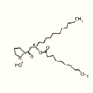 CCCCCCCCCCC[C@H](CC(=O)N1CCC[C@H]1CO)OC(=O)CCCCCCCCC